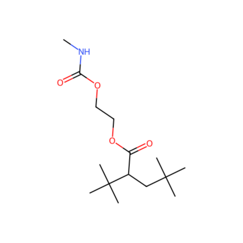 CNC(=O)OCCOC(=O)C(CC(C)(C)C)C(C)(C)C